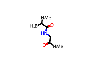 BC(NC)C(=O)NCC(=O)NC